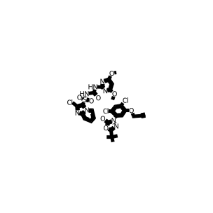 C#CCOc1cc(-n2nc(C(C)(C)C)oc2=O)c(Cl)cc1Cl.COc1cc(OC)nc(NC(=O)NS(=O)(=O)c2c(Cl)nc3ccccn23)n1